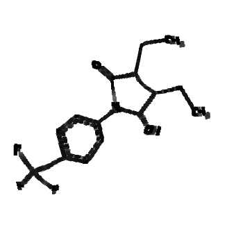 CCC1C(=O)N(c2ccc(C(F)(F)F)cc2)C(O)C1CC